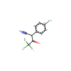 N#CC(C(=O)C(F)(F)F)c1ccc(F)cc1